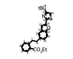 CCOC(=O)c1ccccc1CCc1ccc2oc(-c3nc(C(C)(C)C)cs3)cc2c1